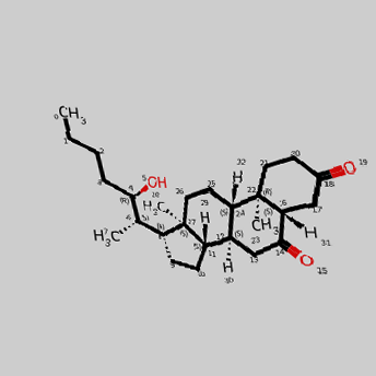 CCCC[C@@H](O)[C@@H](C)[C@H]1CC[C@H]2[C@@H]3CC(=O)[C@H]4CC(=O)CC[C@]4(C)[C@H]3CC[C@]12C